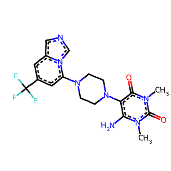 Cn1c(N)c(N2CCN(c3cc(C(F)(F)F)cc4cncn34)CC2)c(=O)n(C)c1=O